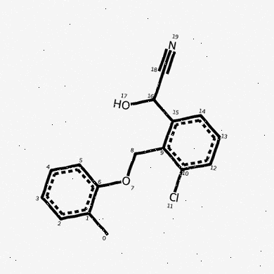 Cc1ccccc1OCc1c(Cl)cccc1C(O)C#N